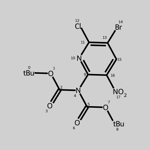 CC(C)(C)OC(=O)N(C(=O)OC(C)(C)C)c1nc(Cl)c(Br)cc1[N+](=O)[O-]